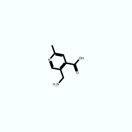 Cc1cc(C(=O)O)c(CN)cn1